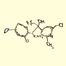 Cc1cc(C(O)(C(C)c2ccc(Cl)cc2Cl)C(F)(F)F)cc(Cl)n1